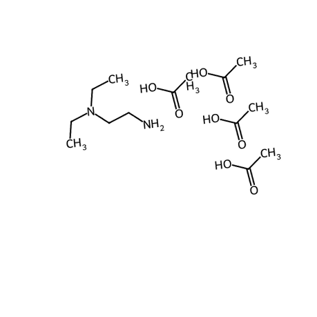 CC(=O)O.CC(=O)O.CC(=O)O.CC(=O)O.CCN(CC)CCN